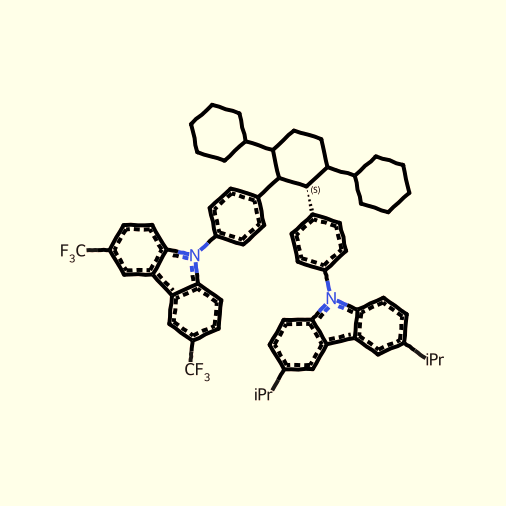 CC(C)c1ccc2c(c1)c1cc(C(C)C)ccc1n2-c1ccc([C@H]2C(C3CCCCC3)CCC(C3CCCCC3)C2c2ccc(-n3c4ccc(C(F)(F)F)cc4c4cc(C(F)(F)F)ccc43)cc2)cc1